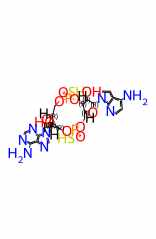 Nc1ccnc2c1ccn2[C@@H]1O[C@@H]2COP(=O)(S)O[C@@H]3[C@H](O)[C@@H](COP(=O)(S)O[C@H]2[C@H]1O)O[C@H]3n1cnc2c(N)ncnc21